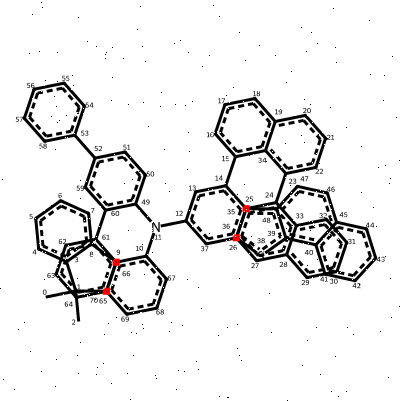 CC1(C)c2ccccc2-c2c(N(c3cc(-c4cccc5cccc(-c6cccc7ccccc67)c45)c4c(c3)sc3c5ccccc5ccc34)c3ccc(-c4ccccc4)cc3-c3ccccc3)cccc21